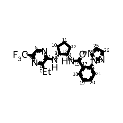 CCc1nc(C(F)(F)F)cnc1N[C@H]1CCC[C@@H]1NC(=O)c1ccccc1-n1nccn1